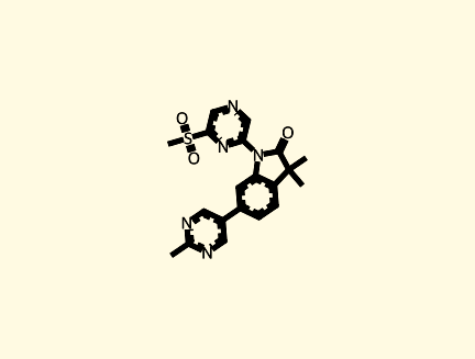 Cc1ncc(-c2ccc3c(c2)N(c2cncc(S(C)(=O)=O)n2)C(=O)C3(C)C)cn1